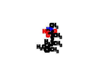 CCNC(=O)/C(C(=O)O)=C(\C)C=CC=C(C)C=CC1=C(C)CCCC1(C)C